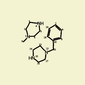 CN1CCNCC1.c1ccc(CN2CCNCC2)cc1